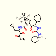 CC(=O)C(=O)C(CC1CC1)NC(=O)[C@H]1C(C(=O)[C@@H](NC(=O)NC2(C)CCCCC2)C2CCCCC2)C[C@H]2[C@@H]1C2(C)C